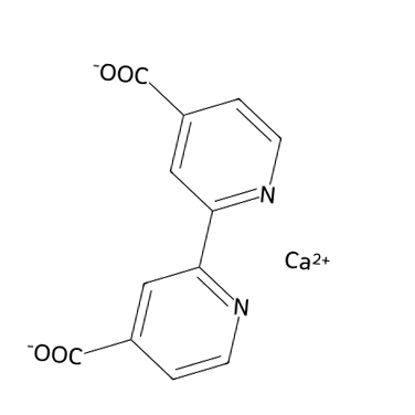 O=C([O-])c1ccnc(-c2cc(C(=O)[O-])ccn2)c1.[Ca+2]